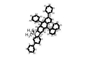 C[Si]1(C)c2cc(-c3ccccc3)ccc2-c2cc3c(-c4cccc5ccccc45)c4ccc(-c5ccccc5)cc4c(-c4ccccc4)c3cc21